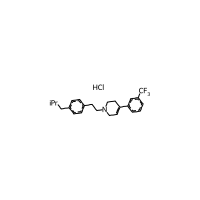 CC(C)Cc1ccc(CCN2CC=C(c3cccc(C(F)(F)F)c3)CC2)cc1.Cl